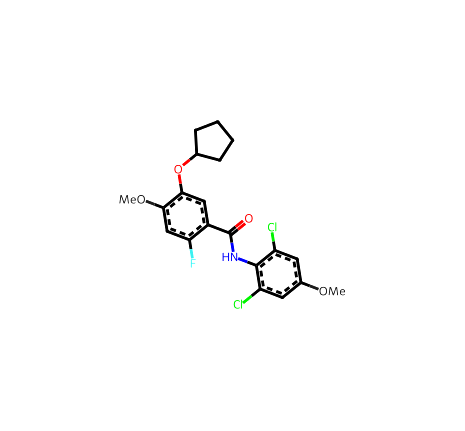 COc1cc(Cl)c(NC(=O)c2cc(OC3CCCC3)c(OC)cc2F)c(Cl)c1